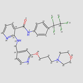 O=C(Nc1ccc(C(F)(F)C(F)(F)F)cc1)c1cccnc1NCc1ccnc(OCCCN2CCOCC2)c1